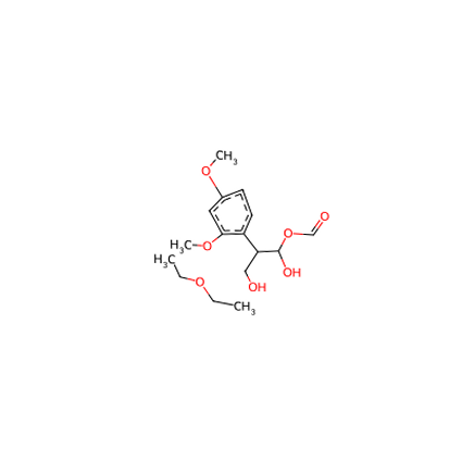 CCOCC.COc1ccc(C(CO)C(O)OC=O)c(OC)c1